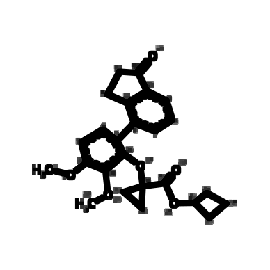 COc1ccc(-c2cccc3c2CCC3=O)c(OC2(C(=O)OC3CCC3)CC2)c1OC